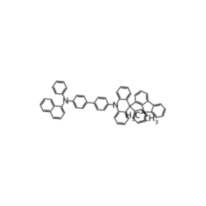 CC1(C)c2ccccc2-c2cccc(C3(c4ccccc4)c4ccccc4N(c4ccc(-c5ccc(N(c6ccccc6)c6cccc7ccccc67)cc5)cc4)c4ccccc43)c21